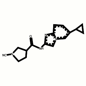 N#CN1CCC(C(=O)Nc2cn3cc(C4CC4)ccc3n2)C1